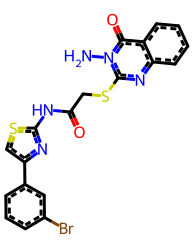 Nn1c(SCC(=O)Nc2nc(-c3cccc(Br)c3)cs2)nc2ccccc2c1=O